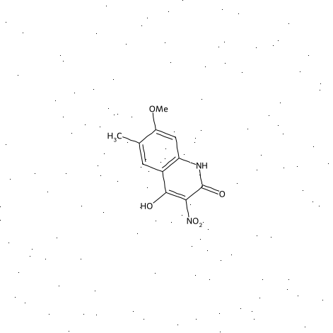 COc1cc2[nH]c(=O)c([N+](=O)[O-])c(O)c2cc1C